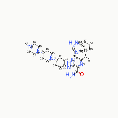 CCc1nc(C(N)=O)c(Nc2ccc(N3CCC(N4CCN(C)CC4)CC3)cc2)nc1N(C)[C@@H]1CCCC[C@@H]1N